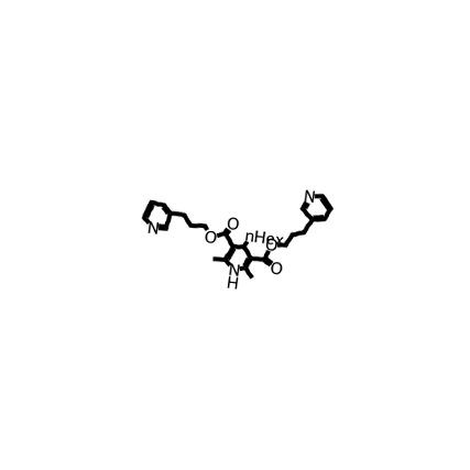 CCCCCCC1C(C(=O)OCCCc2cccnc2)=C(C)NC(C)=C1C(=O)OCCCc1cccnc1